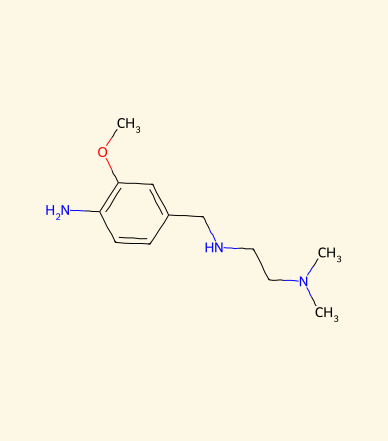 COc1cc(CNCCN(C)C)ccc1N